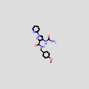 COc1ccc(CNC(=O)c2nn(-c3ccccn3)cc2NC(N)=O)cc1